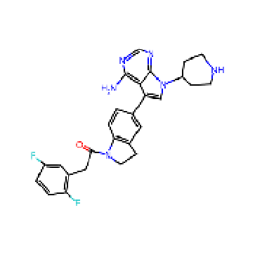 Nc1ncnc2c1c(-c1ccc3c(c1)CCN3C(=O)Cc1cc(F)ccc1F)cn2C1CCNCC1